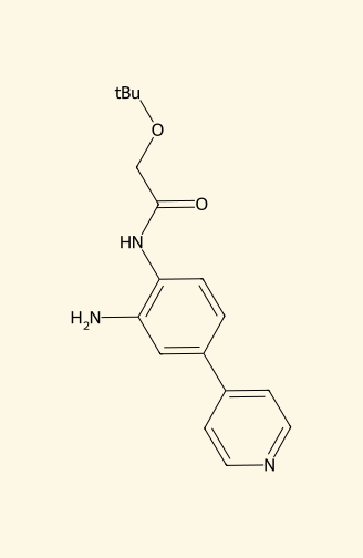 CC(C)(C)OCC(=O)Nc1ccc(-c2ccncc2)cc1N